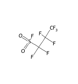 O=S(=O)(F)C(F)(F)C(F)(F)C(F)(F)F